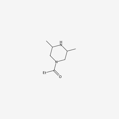 CCC(=O)N1CC(C)NC(C)C1